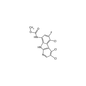 COC(=O)Nc1cc(F)c(Cl)c2c1[nH]c1ncc(Cl)c(Cl)c12